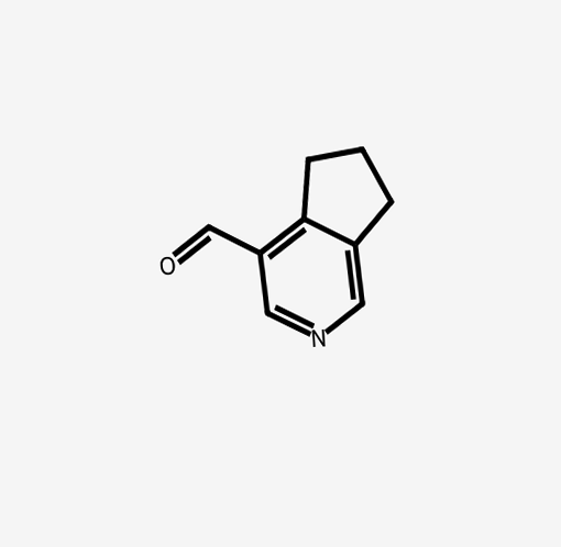 O=Cc1cncc2c1CCC2